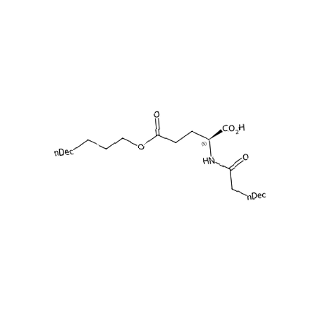 CCCCCCCCCCCCCOC(=O)CC[C@H](NC(=O)CCCCCCCCCCC)C(=O)O